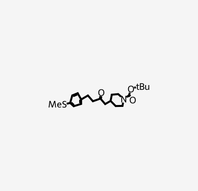 CSc1ccc(CCC(=O)CC2CCN(C(=O)OC(C)(C)C)CC2)cc1